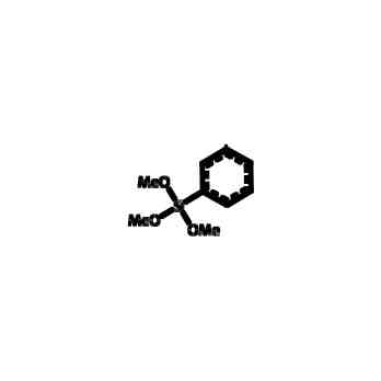 CO[Si](OC)(OC)c1c[c]ccc1